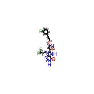 O=c1[nH]cnc2c1NC(c1cc(OCC#Cc3cccc(F)c3)no1)N2CCC(F)F